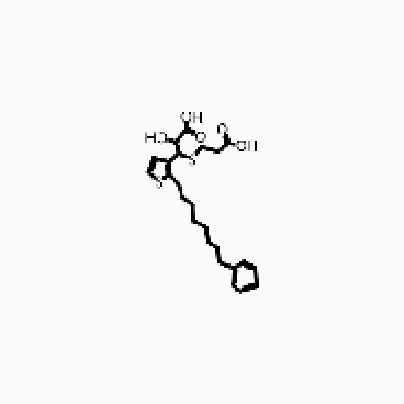 O=C(O)CCSC(c1ccsc1CCCCCCCCc1ccccc1)C(O)C(=O)O